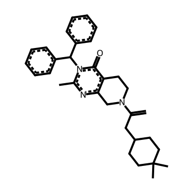 C=C(CC1CCC(C)(C)CC1)N1CCc2c(nc(C)n(C(c3ccccc3)c3ccccc3)c2=O)C1